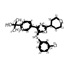 CC(C)(O)c1ccc(-c2nc(C3CCOCC3)oc2Sc2cccc(Cl)c2)cn1